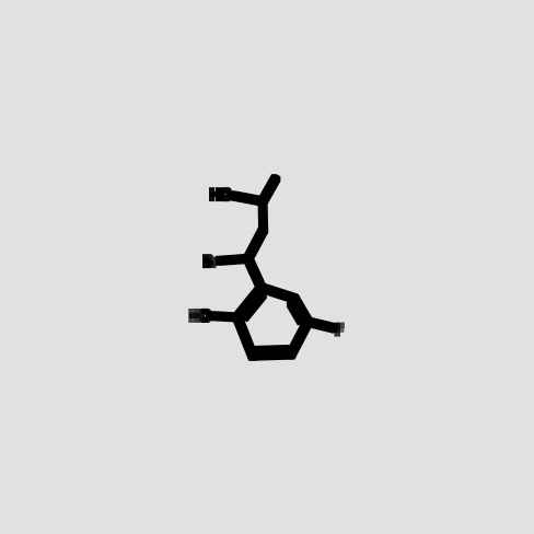 CC(O)CC(Br)c1cc(F)ccc1O